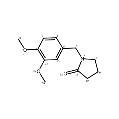 COc1ccc(CN2CCCC2=O)cc1OC